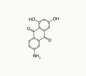 Nc1ccc2c(c1)C(=O)c1cc(O)cc(O)c1C2=O